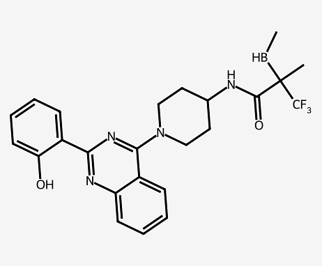 CBC(C)(C(=O)NC1CCN(c2nc(-c3ccccc3O)nc3ccccc23)CC1)C(F)(F)F